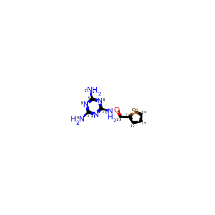 Nc1nc(N)nc(N)n1.O=Cc1cccs1